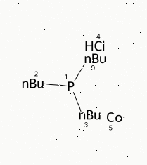 CCCCP(CCCC)CCCC.Cl.[Co]